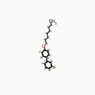 CCCCCCCCOc1ccc(-c2cc[c]c(F)c2)cc1